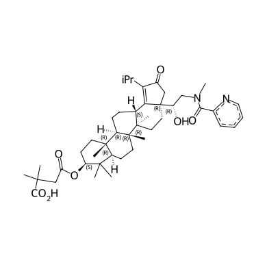 CC(C)C1=C2[C@H]3CC[C@@H]4[C@@]5(C)CC[C@H](OC(=O)CC(C)(C)C(=O)O)C(C)(C)[C@@H]5CC[C@@]4(C)[C@]3(C)CC[C@@]2([C@@H](O)CN(C)C(=O)c2ccccn2)CC1=O